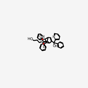 O=C1C2C3C=C(C(O)(c4ccccc4)c4ccccn4)C(C3=C(c3ccccc3)c3ccccn3)C2C(=O)N1CCCO